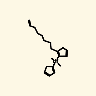 C=CCCCCCCC1=[C]([Hf]([CH3])([CH3])[C]2=CC=CC2)C=CC1